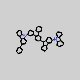 c1ccc(-c2ccc3c(c2)c2ccccc2n3-c2cccc(-c3ccc(C4c5ccccc5-c5cc(-n6c7ccccc7c7ccccc76)ccc54)cc3-c3ccccc3)c2)cc1